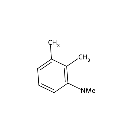 CNc1cccc(C)c1C